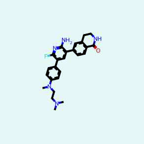 CN(C)CCN(C)c1ccc(-c2cc(-c3ccc4c(c3)CCNC4=O)c(N)nc2F)cc1